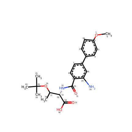 COc1ccc(-c2ccc(C(=O)N[C@H](C(=O)O)C(C)OC(C)(C)C)c(N)c2)cc1